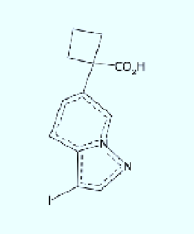 O=C(O)C1(c2ccc3c(I)cnn3c2)CCC1